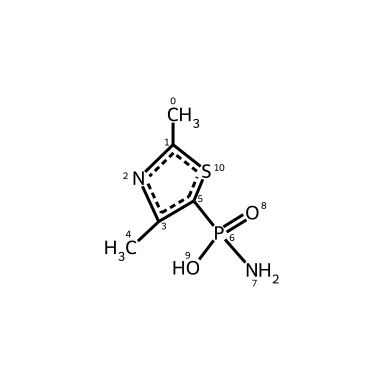 Cc1nc(C)c(P(N)(=O)O)s1